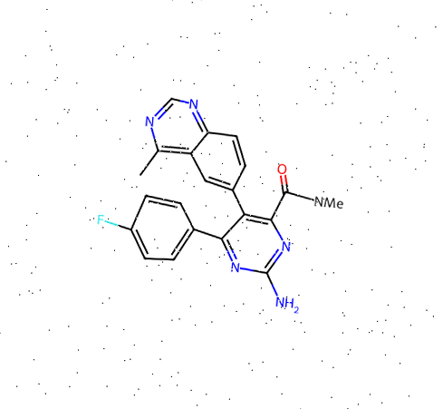 CNC(=O)c1nc(N)nc(-c2ccc(F)cc2)c1-c1ccc2ncnc(C)c2c1